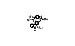 CCCCc1nc2ccc(N(CCCC)C(=O)CCC)cc2n1Cc1ccc(-c2ccccc2C(=O)OC(C)(C)C)cc1